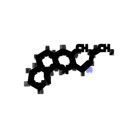 C=C/C=C\c1nc2c(ccc3cccnc32)cc1C